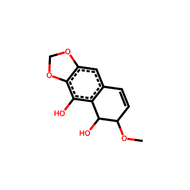 COC1C=Cc2cc3c(c(O)c2C1O)OCO3